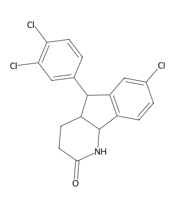 O=C1CCC2C(N1)c1ccc(Cl)cc1C2c1ccc(Cl)c(Cl)c1